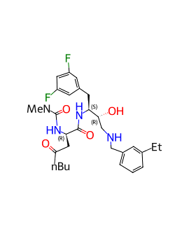 CCCCC(=O)C[C@@H](NC(=O)NC)C(=O)N[C@@H](Cc1cc(F)cc(F)c1)[C@H](O)CNCc1cccc(CC)c1